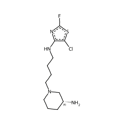 N[C@@H]1CCCN(CCCCNc2nc(F)sc2Cl)C1